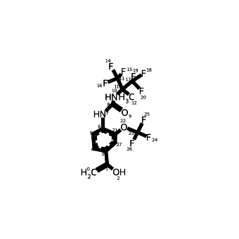 C=C(O)c1ccc(NC(=O)NC(C)(C(F)(F)F)C(F)(F)F)c(OC(F)(F)F)c1